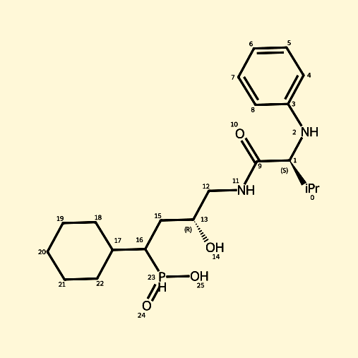 CC(C)[C@H](Nc1ccccc1)C(=O)NC[C@H](O)CC(C1CCCCC1)[PH](=O)O